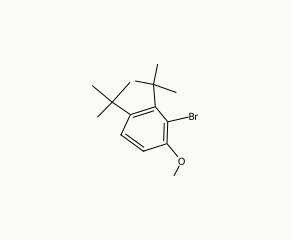 COc1ccc(C(C)(C)C)c(C(C)(C)C)c1Br